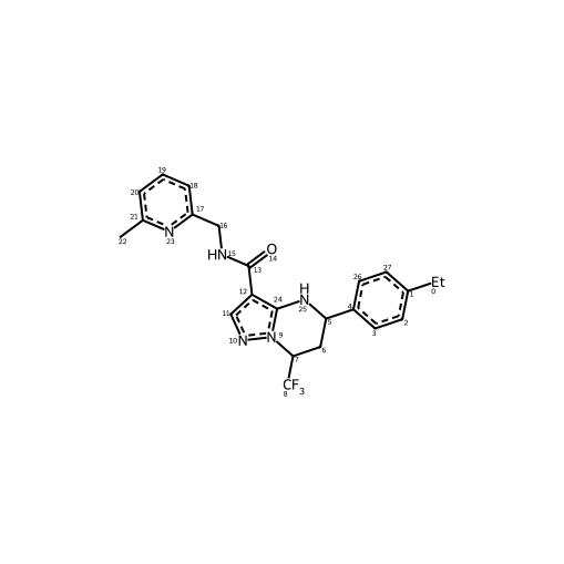 CCc1ccc(C2CC(C(F)(F)F)n3ncc(C(=O)NCc4cccc(C)n4)c3N2)cc1